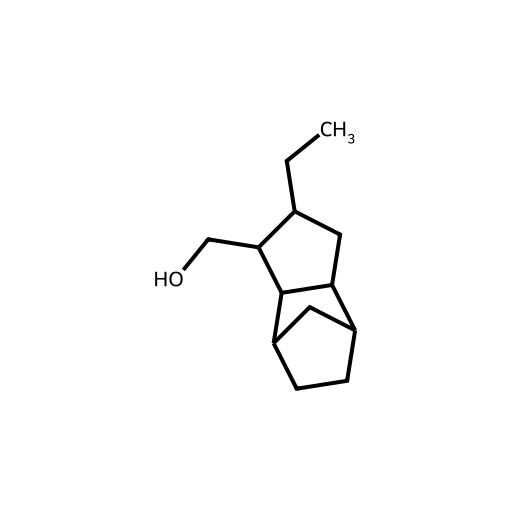 CCC1CC2C3CCC(C3)C2C1CO